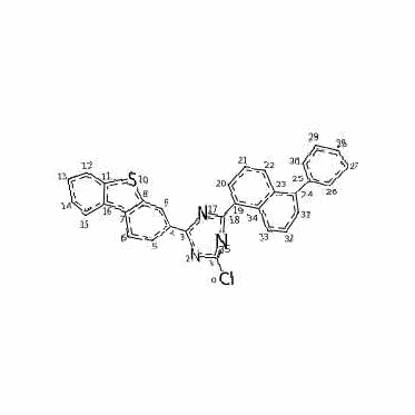 Clc1nc(-c2ccc3c(c2)sc2ccccc23)nc(-c2cccc3c(-c4ccccc4)cccc23)n1